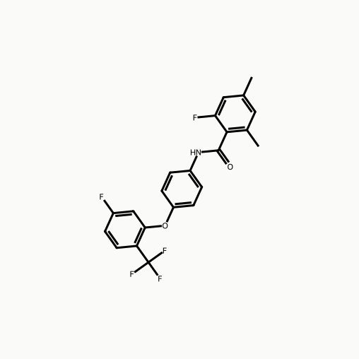 Cc1cc(C)c(C(=O)Nc2ccc(Oc3cc(F)ccc3C(F)(F)F)cc2)c(F)c1